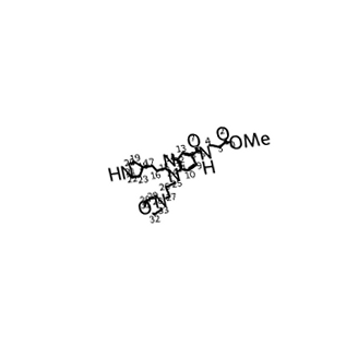 COC(=O)CCNC(=O)c1ccc2c(c1)nc(CCC1CCNCC1)n2CCCN1CCOCC1